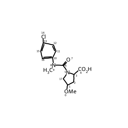 COC1CC(C(=O)O)N(C(=O)N(C)c2ccc(Cl)cc2)C1